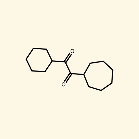 O=C(C(=O)C1CCCCC1)C1CCCCCC1